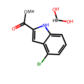 COC(=O)c1cc2c(Br)cccc2[nH]1.OBO